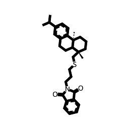 CC(C)c1ccc2c(c1)CCC1[C@@](C)(CSCCCN3C(=O)c4ccccc4C3=O)CCC[C@]21C